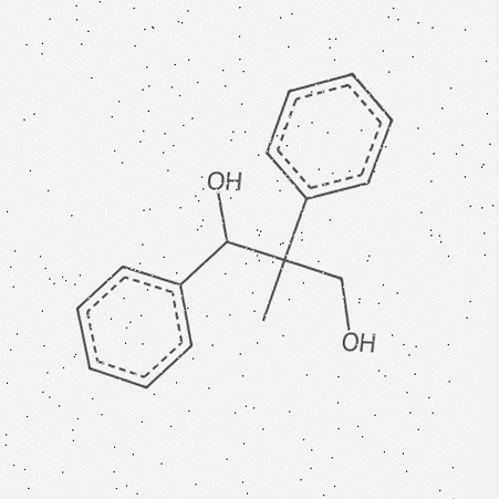 CC(CO)(c1ccccc1)C(O)c1ccccc1